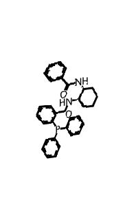 O=C(N[C@@H]1CCCC[C@H]1NC(=O)c1ccccc1P(c1ccccc1)c1ccccc1)c1ccccc1